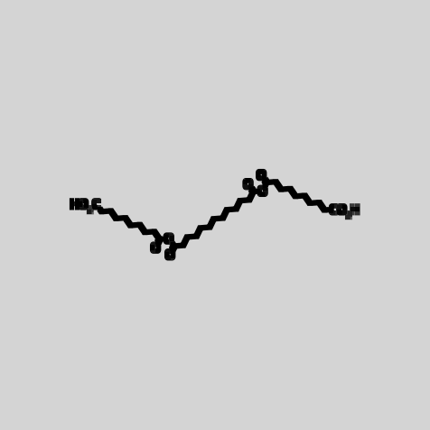 O=C(O)CCCCCCCCC(=O)OC(=O)CCCCCCCCCCCC(=O)OC(=O)CCCCCCCCC(=O)O